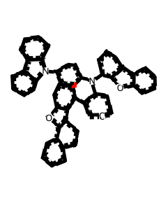 c1ccc(N(c2ccc(-n3c4ccccc4c4ccccc43)cc2)c2cccc3c2oc2ccccc23)c(-c2cccc3oc4c5ccccc5ccc4c23)c1